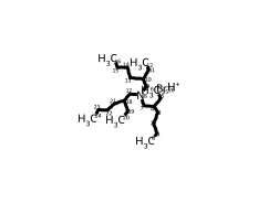 CCCCC(CC)CN(CC(CC)CCCC)CC(CC)CCCC.[Br-].[H+]